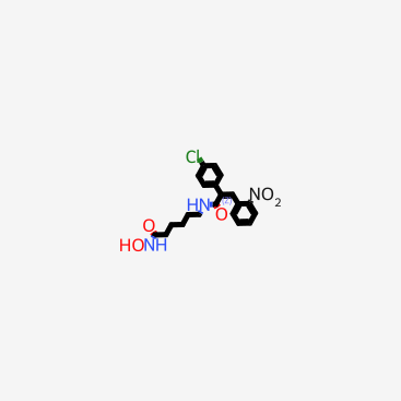 O=C(CCCCCNC(=O)/C(=C\c1ccccc1[N+](=O)[O-])c1ccc(Cl)cc1)NO